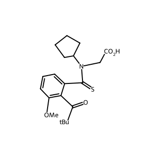 COc1cccc(C(=S)N(CC(=O)O)C2CCCC2)c1C(=O)C(C)(C)C